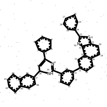 C1=C(c2ccccc2)N=C(c2cccc(-c3ccc4ccc5sc(-c6ccccc6)nc5c4c3)c2)NC1c1ccc2ccccc2c1